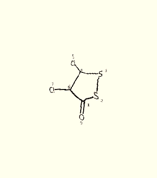 O=C1SSC(Cl)C1Cl